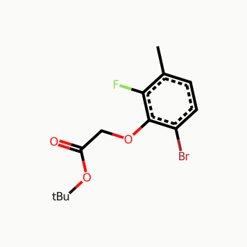 Cc1ccc(Br)c(OCC(=O)OC(C)(C)C)c1F